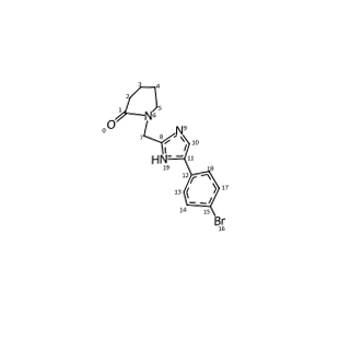 O=C1CCCCN1Cc1ncc(-c2ccc(Br)cc2)[nH]1